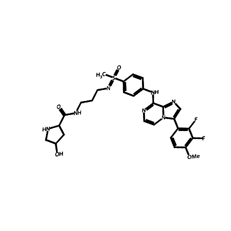 COc1ccc(-c2cnc3c(Nc4ccc(S(C)(=O)=NCCCNC(=O)C5CC(O)CN5)cc4)nccn23)c(F)c1F